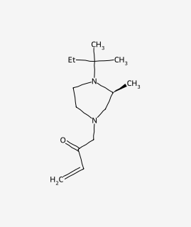 C=CC(=O)CN1CCN(C(C)(C)CC)[C@@H](C)C1